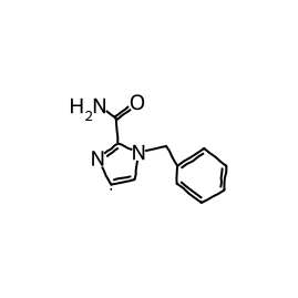 NC(=O)c1n[c]cn1Cc1ccccc1